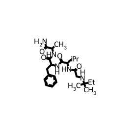 CCC(C)(C)NCC(=O)NC(C(=O)NC(Cc1ccccc1)C(=O)NC(C)C(N)=O)C(C)C